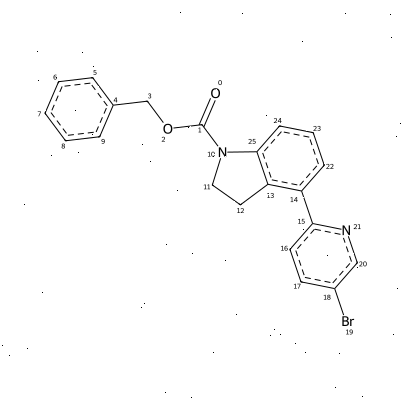 O=C(OCc1ccccc1)N1CCc2c(-c3ccc(Br)cn3)cccc21